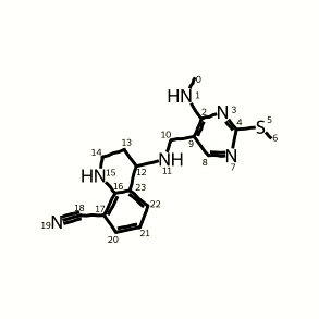 CNc1nc(SC)ncc1CNC1CCNc2c(C#N)cccc21